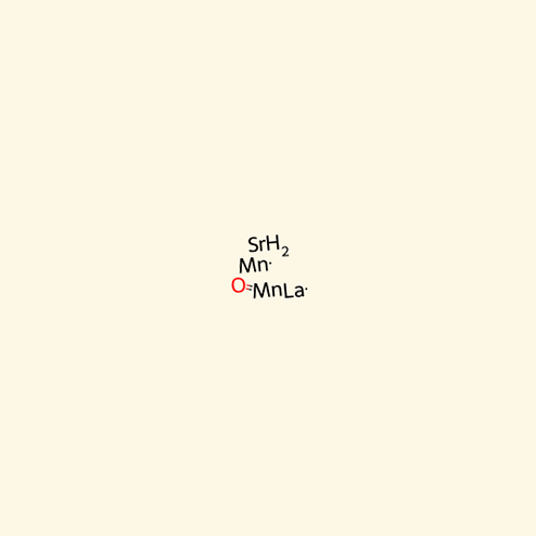 [La].[Mn].[O]=[Mn].[SrH2]